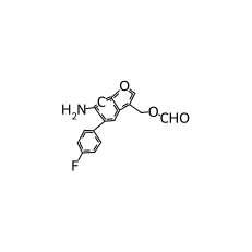 Nc1cc2occ(COC=O)c2cc1-c1ccc(F)cc1